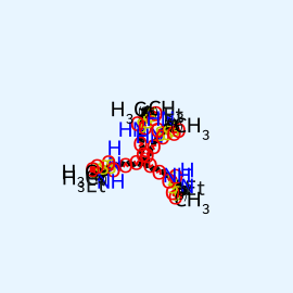 CCN[C@H]1C[C@H](C)S(=O)(=O)c2sc(S(=O)(=O)NCCOCCOCC(COCCOCCCNS(=O)(=O)c3cc4c(s3)S(=O)(=O)[C@@H](C)C[C@@H]4C)(COCCOCCNS(=O)(=O)c3cc4c(s3)S(=O)(=O)[C@@H](C)C[C@@H]4NCC)COCCOCCNS(=O)(=O)c3cc4c(s3)S(=O)(=O)C(C)(C)C[C@@H]4NCC)cc21